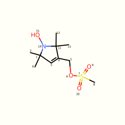 CC1(C)C=C(COS(C)(=O)=O)C(C)(C)N1O